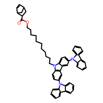 O=C(OCCCCCCCCCCCn1c2ccc(-n3c4ccccc4c4ccccc43)cc2c2cc(-n3c4ccccc4c4ccccc43)ccc21)C1CC2C=CC1C2